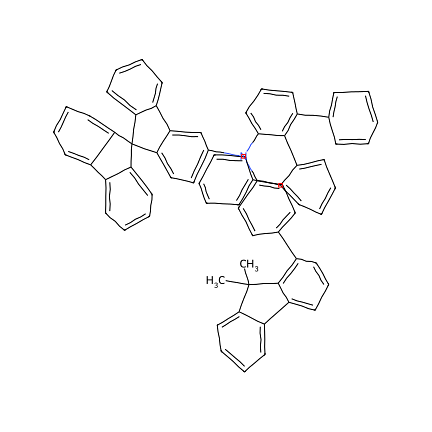 CC1(C)c2ccccc2-c2cccc(-c3ccc(N(c4ccc5c(c4)-c4ccccc4C54c5ccccc5-c5ccccc54)c4cccc(-c5ccccc5)c4-c4ccccc4-c4ccccc4)cc3)c21